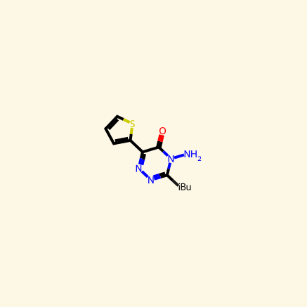 CCC(C)c1nnc(-c2cccs2)c(=O)n1N